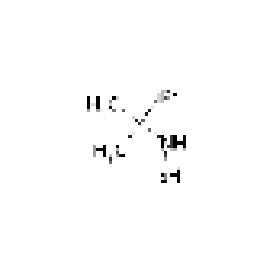 CC(C)C(C)(C)NS